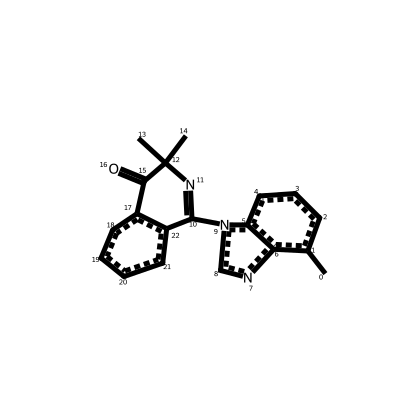 Cc1cccc2c1ncn2C1=NC(C)(C)C(=O)c2ccccc21